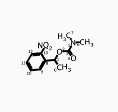 CC(OC(=O)N(C)C)c1ccccc1[N+](=O)[O-]